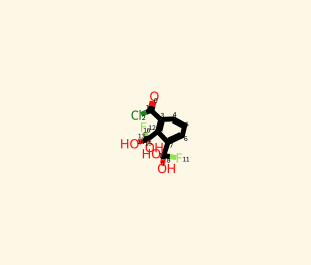 O=C(Cl)c1cccc(C(O)(O)F)c1C(O)(O)F